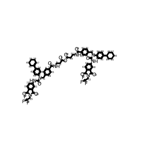 O=C(CCNC(=O)c1ccc(CN(C(=O)Nc2ccc3c(c2)C(=O)N(CC(F)(F)F)C3=O)c2ccc(C3=CCCCC3)cc2)cc1)OC(=O)CCNC(=O)c1ccc(CN(C(=O)Nc2ccc3c(c2)C(=O)N(CC(F)(F)F)C3=O)c2ccc(C3CCCCC3)cc2)cc1